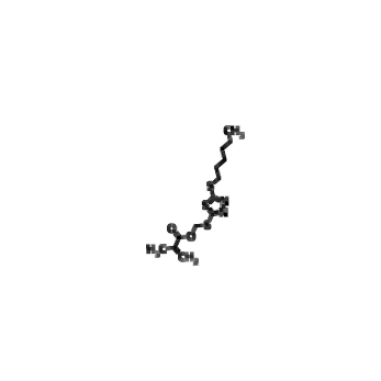 C=C(C)C(=O)OCSc1nnc(SCCCCCC)s1